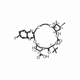 C[C@@H]1[C@@H]2CN(C(=O)[C@H](C(C)(C)C)NC(=O)O[C@@H]3C[C@H](C)[C@H](C)[C@H]3CCCCCc3nc4ccc(F)cc4nc3O2)[C@@H]1C(=O)O